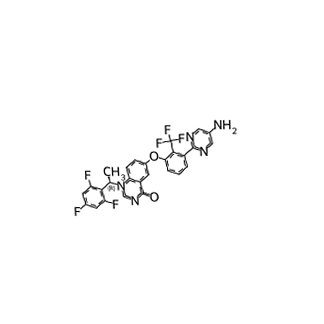 C[C@H](c1c(F)cc(F)cc1F)n1cnc(=O)c2cc(Oc3cccc(-c4ncc(N)cn4)c3C(F)(F)F)ccc21